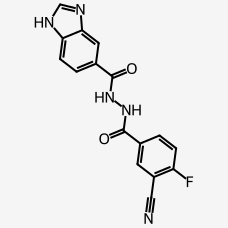 N#Cc1cc(C(=O)NNC(=O)c2ccc3[nH]cnc3c2)ccc1F